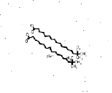 CC(C)(C)CCCCCCCCCCCCCCC(=O)[O-].CC(C)(C)CCCCCCCCCCCCCCC(=O)[O-].[Zn+2]